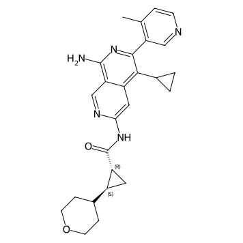 Cc1ccncc1-c1nc(N)c2cnc(NC(=O)[C@@H]3C[C@H]3C3CCOCC3)cc2c1C1CC1